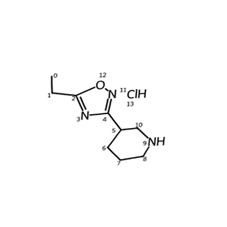 CCc1nc(C2CCCNC2)no1.Cl